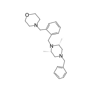 C[C@@H]1CN(Cc2ccccc2)C[C@H](C)N1Cc1ccccc1CN1CCOCC1